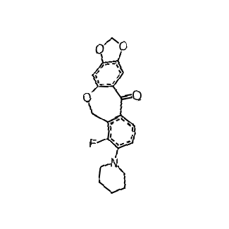 O=C1c2cc3c(cc2OCc2c1ccc(N1CCCCC1)c2F)OCO3